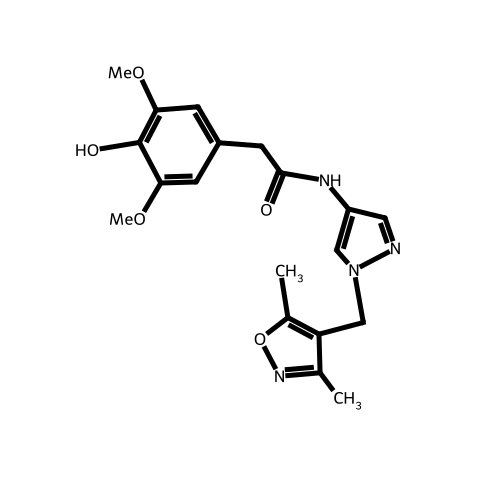 COc1cc(CC(=O)Nc2cnn(Cc3c(C)noc3C)c2)cc(OC)c1O